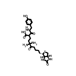 N[C@@H](Cc1ccc(O)cc1)C(=O)[C](CCC(N)(N)C(=O)CCCC[C@@H]1SC[C@@H]2NC(=O)N[C@@H]21)C(=O)O